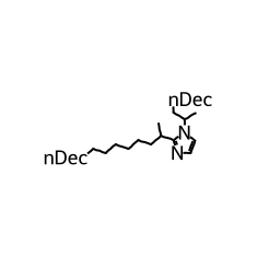 CCCCCCCCCCCCCCCCC(C)c1nccn1C(C)CCCCCCCCCCC